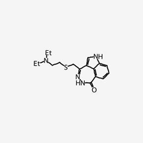 CCN(CC)CCSCC1=NNC(=O)c2cccc3[nH]cc1c23